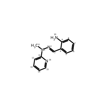 CN(N=Cc1ccccc1N)c1ccccn1